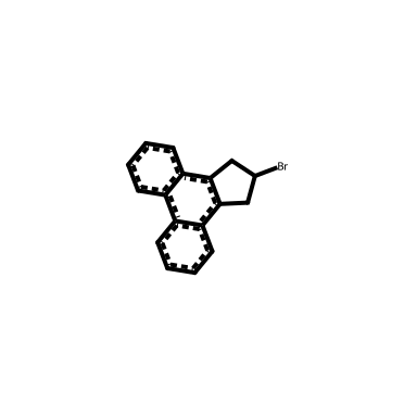 BrC1Cc2c(c3ccccc3c3ccccc23)C1